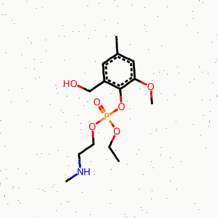 CCOP(=O)(OCCNC)Oc1c(CO)cc(C)cc1OC